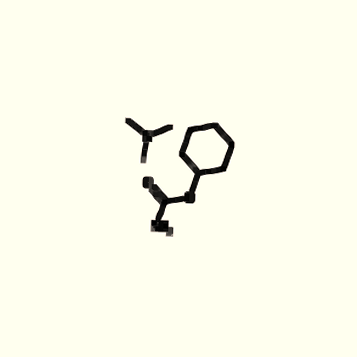 CN(C)C.NC(=O)OC1CCCCC1